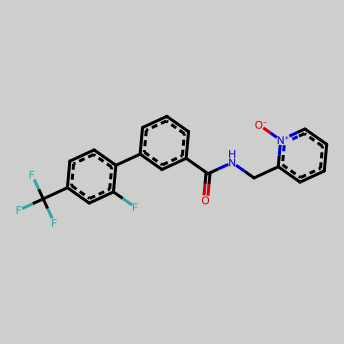 O=C(NCc1cccc[n+]1[O-])c1cccc(-c2ccc(C(F)(F)F)cc2F)c1